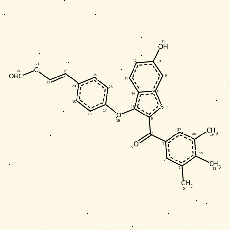 Cc1cc(C(=O)c2sc3cc(O)ccc3c2Oc2ccc(/C=C/OC=O)cc2)cc(C)c1C